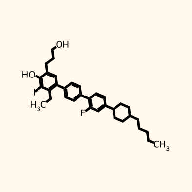 CCCCCC1CCC(c2ccc(-c3ccc(-c4cc(CCCO)c(O)c(I)c4CC)cc3)c(F)c2)CC1